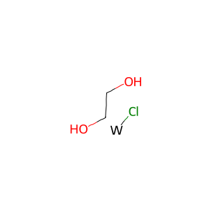 OCCO.[Cl][W]